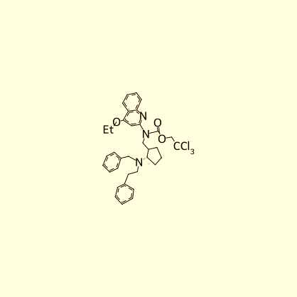 CCOc1cc(N(CC2CCC[C@@H]2N(CCc2ccccc2)Cc2ccccc2)C(=O)OCC(Cl)(Cl)Cl)nc2ccccc12